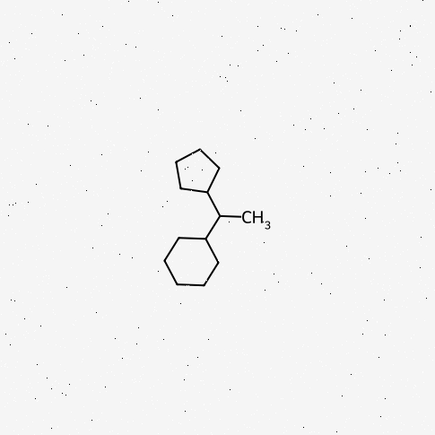 CC(C1CCCCC1)C1CCCC1